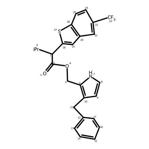 CC(C)C(C(=O)OCc1[nH]ccc1Cc1ccccc1)c1cc2cc(C(F)(F)F)ccc2s1